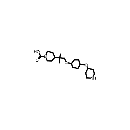 CC(C)(COC1CCC(OC2CCNCC2)CC1)C1CCN(C(=O)O)CC1